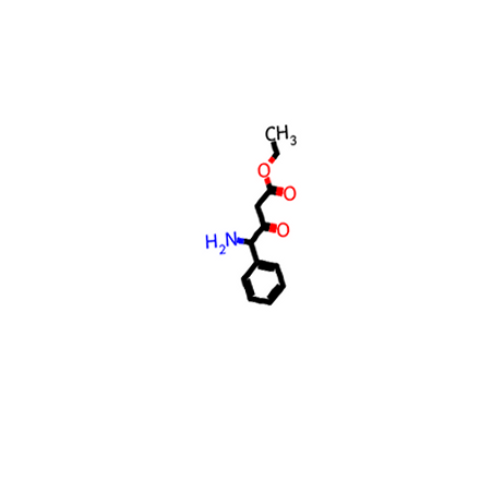 CCOC(=O)CC(=O)C(N)c1ccccc1